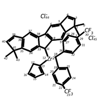 CC1(C)C=Cc2cc3c(cc21)[CH]([Zr+2]([C]1=CC=CC1)=[C](c1ccc(C(F)(F)F)cc1)c1ccc(C(F)(F)F)cc1)c1cc2c(cc1-3)C=CC2(C)C.[Cl-].[Cl-]